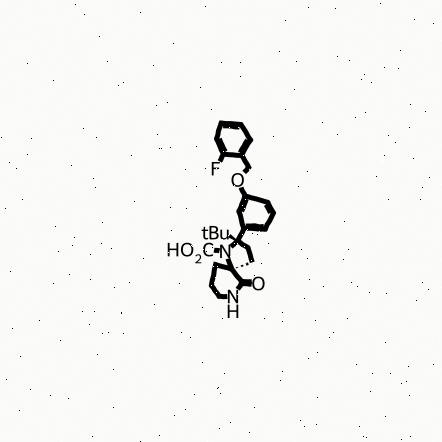 CC(C)(C)[C@@]1(c2cccc(OCc3ccccc3F)c2)CC[C@]2(CCCNC2=O)N1C(=O)O